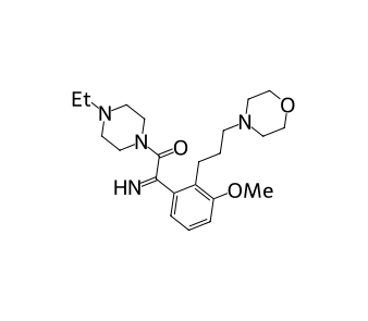 CCN1CCN(C(=O)C(=N)c2cccc(OC)c2CCCN2CCOCC2)CC1